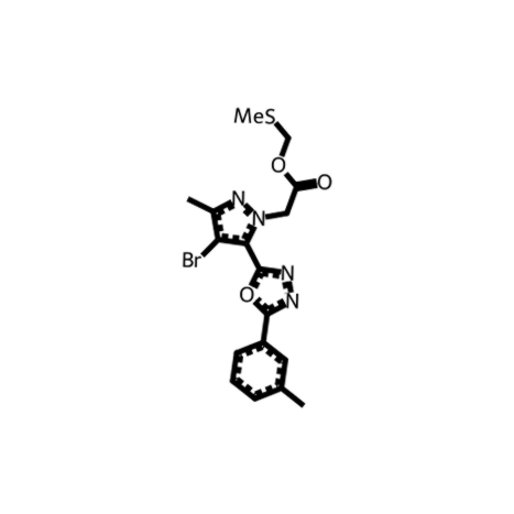 CSCOC(=O)Cn1nc(C)c(Br)c1-c1nnc(-c2cccc(C)c2)o1